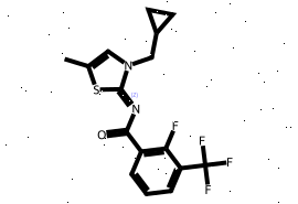 Cc1cn(CC2CC2)/c(=N/C(=O)c2cccc(C(F)(F)F)c2F)s1